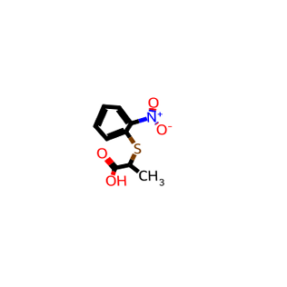 CC(Sc1ccccc1[N+](=O)[O-])C(=O)O